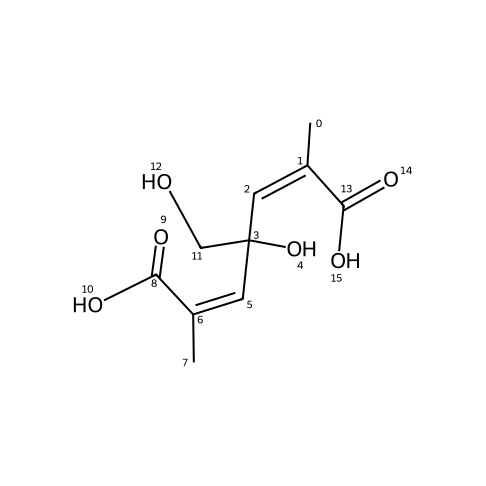 CC(=CC(O)(C=C(C)C(=O)O)CO)C(=O)O